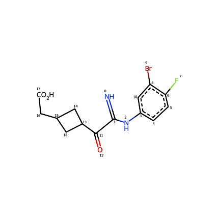 N=C(Nc1ccc(F)c(Br)c1)C(=O)C1CC(CC(=O)O)C1